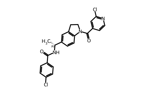 C[C@@H](NC(=O)c1ccc(Cl)cc1)c1ccc2c(c1)CCN2C(=O)c1ccnc(Cl)c1